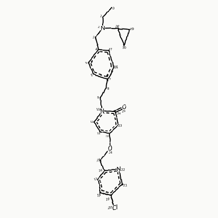 CCN(Cc1ccc(CCn2ccc(OCc3ccc(Cl)cn3)cc2=O)cc1)C1CC1